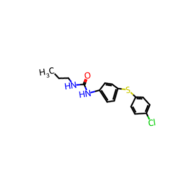 CCCNC(=O)Nc1ccc(Sc2ccc(Cl)cc2)cc1